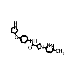 Cc1ccc(N2CC(C(=O)Nc3ccc(O[C@@H]4CCNC4)cc3)C2)nn1